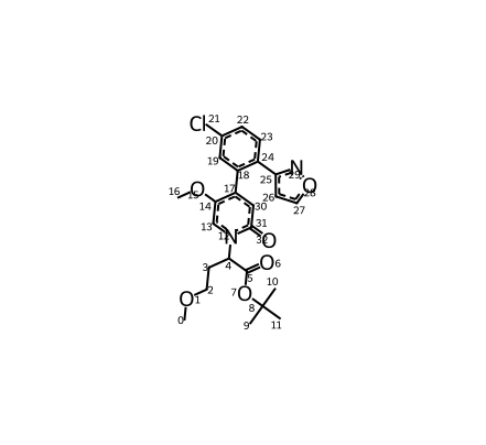 COCCC(C(=O)OC(C)(C)C)n1cc(OC)c(-c2cc(Cl)ccc2-c2ccon2)cc1=O